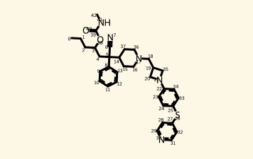 CCCC(CC(C#N)(c1ccccc1)C1CCN(CC2CN(c3ccc(Sc4ccncc4)cc3)C2)CC1)OC(=O)NC